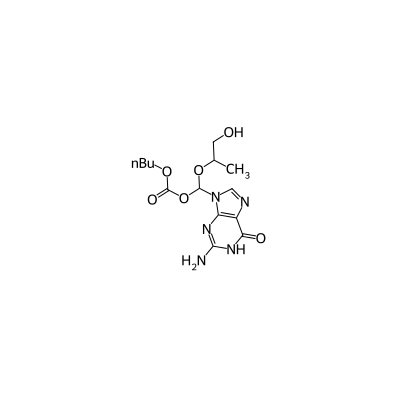 CCCCOC(=O)OC(OC(C)CO)n1cnc2c(=O)[nH]c(N)nc21